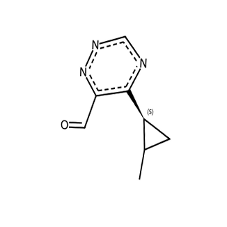 CC1C[C@@H]1c1ncnnc1C=O